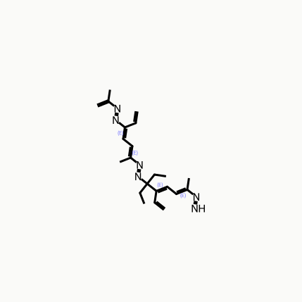 C=C/C(=C\C=C(/C)N=NC(CC)(CC)/C(C=C)=C/C=C(\C)N=N)N=NC(=C)C